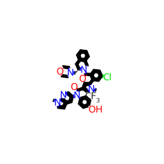 Cn1c(-c2cc(Cl)ccc2C(=O)N2Cc3ccccc3C[C@H]2CN2CCOCC2)cc(C(=O)N(c2ccc(O)cc2)c2cnc3c(ccn3C)c2)c1C(F)(F)F